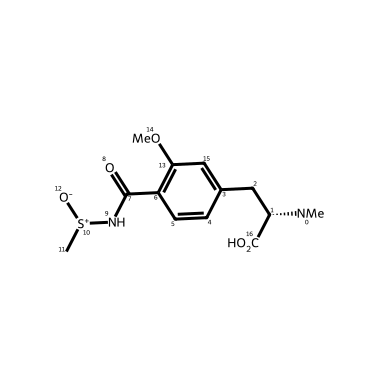 CN[C@@H](Cc1ccc(C(=O)N[S+](C)[O-])c(OC)c1)C(=O)O